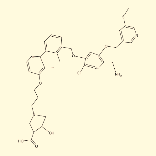 CSc1cncc(COc2cc(OCc3cccc(-c4cccc(OCCCN5CC(O)C(C(=O)O)C5)c4C)c3C)c(Cl)cc2CN)c1